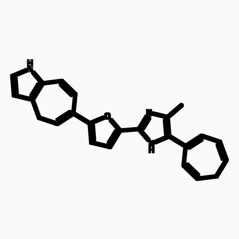 Cc1nc(-c2ccc(C3=CCc4cc[nH]c4C=C3)o2)[nH]c1C1=CC=CCC=C1